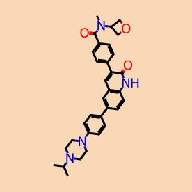 CC(C)N1CCN(c2ccc(-c3ccc4[nH]c(=O)c(-c5ccc(C(=O)N(C)C6COC6)cc5)cc4c3)cc2)CC1